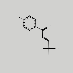 O=C(/C=C/C(F)(F)F)c1ccc(F)cc1